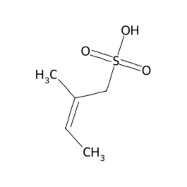 CC=C(C)CS(=O)(=O)O